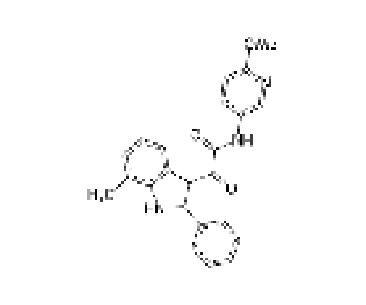 COc1ccc(NC(=O)C(=O)C2c3cccc(C)c3NC2c2ccccc2)cn1